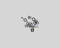 C#Cc1ccc(COC(=O)N[C@@H](Cc2ccccc2)C(=O)N[C@H](/C=C/S(=O)(=O)Oc2ccc(Br)cc2)CC(C)C)cc1